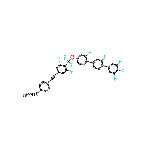 CCCCCc1ccc(C#Cc2cc(F)c(C(F)(F)Oc3ccc(-c4ccc(-c5cc(F)c(F)c(F)c5)c(F)c4)c(F)c3)c(F)c2)cc1